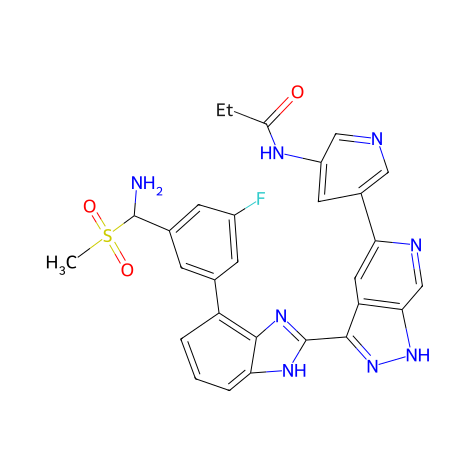 CCC(=O)Nc1cncc(-c2cc3c(-c4nc5c(-c6cc(F)cc(C(N)S(C)(=O)=O)c6)cccc5[nH]4)n[nH]c3cn2)c1